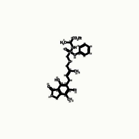 CCOC(=O)C(C)NP(=O)(COC/C(C)=C/Cc1c(O)c2c(c(C)c1CC)COC2=O)Oc1ccccc1